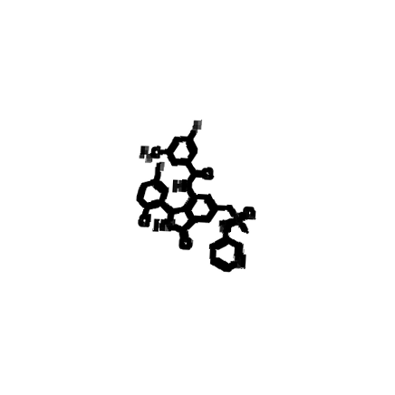 CS(=O)(Cc1cc(NC(=O)c2cc(F)cc(C(F)(F)F)c2)c2c(c1)C(=O)NC2c1cc(F)ccc1Cl)=Nc1cccnc1